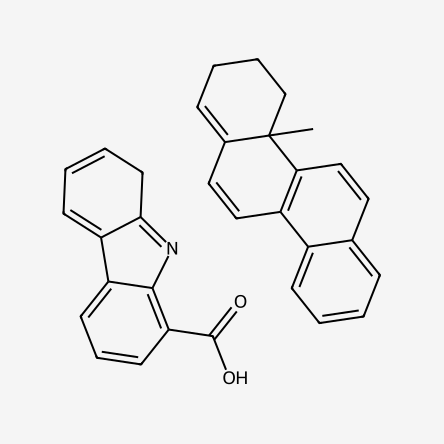 CC12CCCC=C1C=Cc1c2ccc2ccccc12.O=C(O)c1cccc2c1N=C1CC=CC=C12